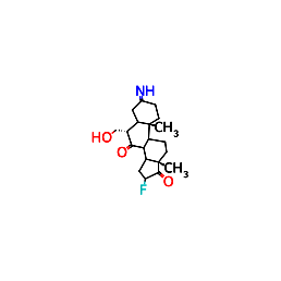 C[C@]12CCC(=N)CC1[C@@H](CO)C(=O)C1C2CC[C@]2(C)C(=O)C(F)CC12